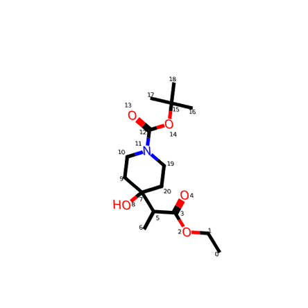 CCOC(=O)C(C)C1(O)CCN(C(=O)OC(C)(C)C)CC1